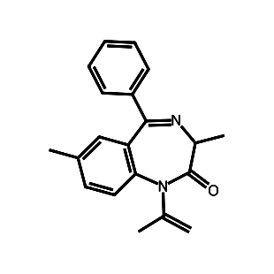 C=C(C)N1C(=O)C(C)N=C(c2ccccc2)c2cc(C)ccc21